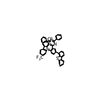 FC(F)(F)c1ccc2c3ccc(C(F)(F)F)cc3n(-c3ccc(-c4cccc5c4sc4ccccc45)cc3-c3nc(-c4ccccc4)nc(-c4ccccc4)n3)c2c1